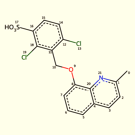 Cc1ccc2cccc(OCc3c(Cl)ccc(S(=O)(=O)O)c3Cl)c2n1